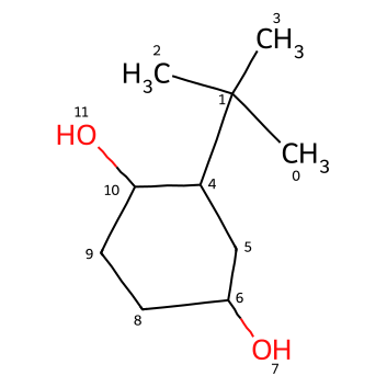 CC(C)(C)C1CC(O)CCC1O